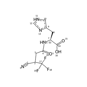 N#CC(CC(=O)N[C@@H](Cc1c[nH]cn1)C(=O)O)C(F)(F)F